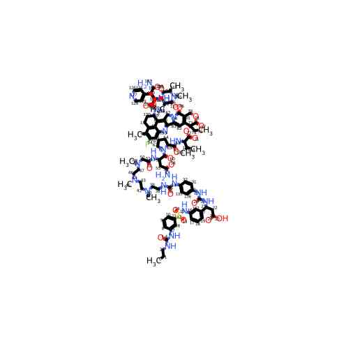 CCCNC(=O)Nc1cccc(S(=O)(=O)Nc2cccc(C(CC(=O)O)NC(=O)Nc3ccc(NC(=O)NCCN(C)CCN(C)CCN(C)CC(=O)NC(CC(N)=O)C(=O)N4CCCC4C(=O)NC(C(=O)OC4(CC)C(=O)OCc5c4cc4n(c5=O)Cc5c-4nc4cc(F)c(C)c6c4c5C(NC(=O)C(CC(N)=O)NC(=O)C(C)N(C)C(=O)C(C)NC(=O)Cc4ccncc4)CC6)C(C)C)cc3)c2)c1